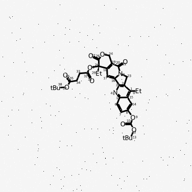 CCc1c2c(nc3ccc(OC(=O)OC(C)(C)C)cc13)-c1cc3c(c(=O)n1C2)COC(=O)[C@@]3(CC)OC(=O)CCC(=O)OC(C)(C)C